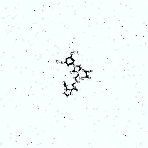 COc1cc(OC)cc(N2CCN(CCNCC(=O)N3CCCC3C#N)C2=O)c1.O=C(O)C(=O)O